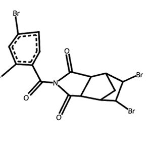 O=C(c1ccc(Br)cc1Br)N1C(=O)C2C3CC(C(Br)C3Br)C2C1=O